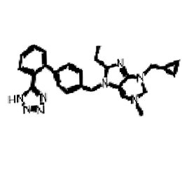 CCC1N=C2C(=CN(C)CN2CC2CC2)N1Cc1ccc(-c2ccccc2-c2nnn[nH]2)cc1